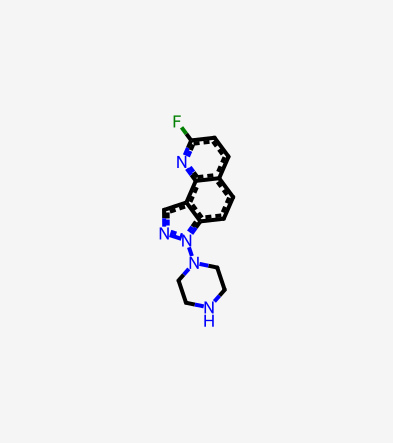 Fc1ccc2ccc3c(cnn3N3CCNCC3)c2n1